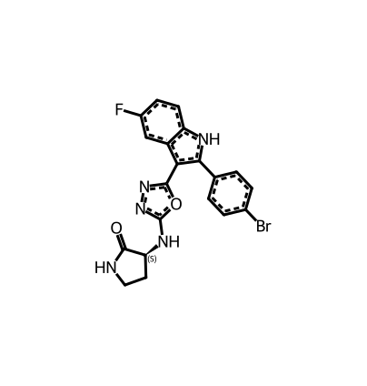 O=C1NCC[C@@H]1Nc1nnc(-c2c(-c3ccc(Br)cc3)[nH]c3ccc(F)cc23)o1